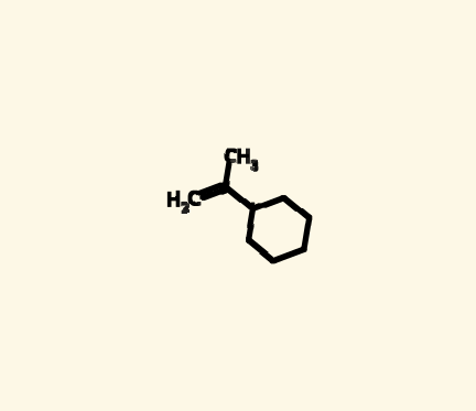 C=C(C)[C]1CCCCC1